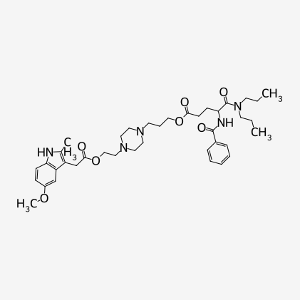 CCCN(CCC)C(=O)C(CCC(=O)OCCCN1CCN(CCOC(=O)Cc2c(C)[nH]c3ccc(OC)cc23)CC1)NC(=O)c1ccccc1